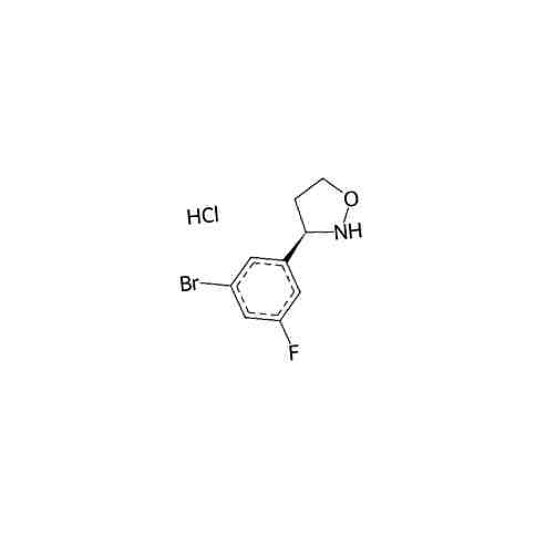 Cl.Fc1cc(Br)cc([C@H]2CCON2)c1